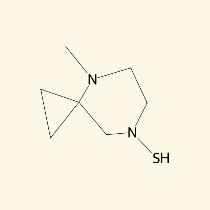 CN1CCN(S)CC12CC2